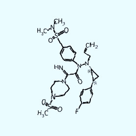 C=CCN([C@@H]1C[C@H]1c1ccc(F)cc1)N(C(=O)C(=N)N1CCN(S(C)(=O)=O)CC1)c1ccc(S(=O)(=O)N(C)C)cc1